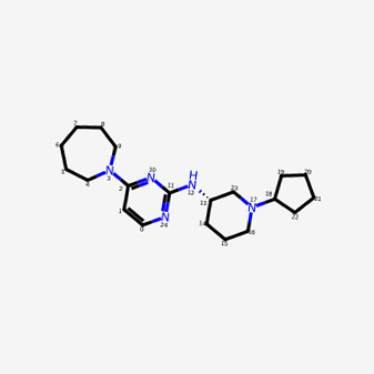 c1cc(N2CCCCCC2)nc(N[C@H]2CCCN(C3CCCC3)C2)n1